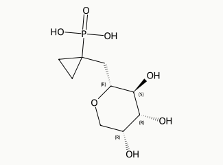 O=P(O)(O)C1(C[C@H]2OC[C@@H](O)[C@@H](O)[C@@H]2O)CC1